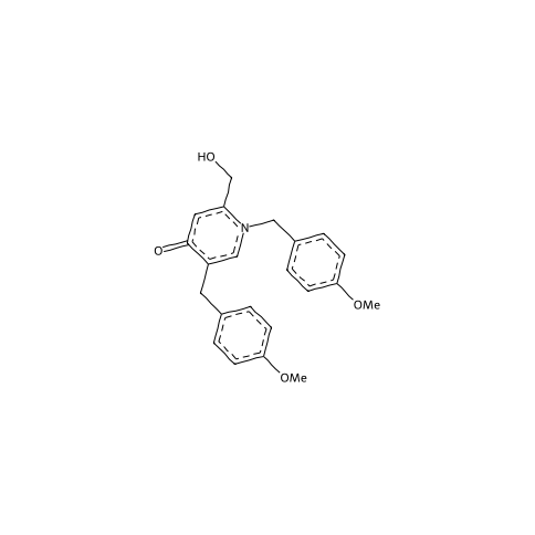 COc1ccc(Cc2cn(Cc3ccc(OC)cc3)c(CO)cc2=O)cc1